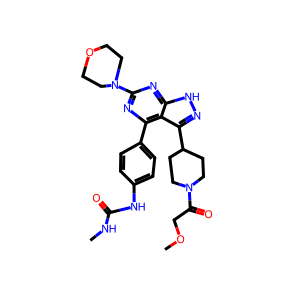 CNC(=O)Nc1ccc(-c2nc(N3CCOCC3)nc3[nH]nc(C4CCN(C(=O)COC)CC4)c23)cc1